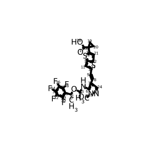 C[C@@H](OC(=O)Nc1c(C#Cc2cc3sc(C4(C(=O)O)CC4)cc3s2)cnn1C)c1c(F)c(F)c(F)c(F)c1F